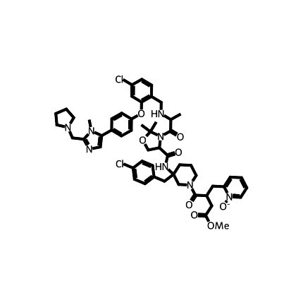 COC(=O)CC(Cc1cccc[n+]1[O-])C(=O)N1CCCC(Cc2ccc(Cl)cc2)(NC(=O)C2COC(C)(C)N2C(=O)C(C)NCc2ccc(Cl)cc2Oc2ccc(-c3cnc(CN4CCCC4)n3C)cc2)C1